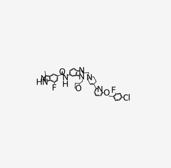 Cc1n[nH]c2c(F)cc(C(=O)Nc3ccc4nc(CN5CC=C(c6cccc(OCc7ccc(Cl)cc7F)n6)CC5)n(CC5CCO5)c4c3)cc12